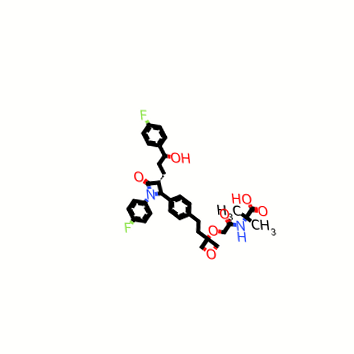 CC(C)(NC(=O)COC1(CCc2ccc(C3[C@@H](CCC(O)c4ccc(F)cc4)C(=O)N3c3ccc(F)cc3)cc2)COC1)C(=O)O